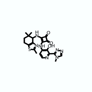 Cc1nc2c(s1)CCC(C)(C)C2Nc1c(Nc2ccnc(-c3nncn3C)c2O)c(=O)c1=O